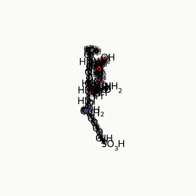 CC(C)[C@H](NC(=O)[C@@H](CCCCNC(=O)COC1CCCCC/C(NCCOCCOCCOCCOCCC(=O)NCCS(=O)(=O)O)=C\1N)NC(=O)CCOCCOCCOCCOCCNC(=O)CCC(=O)N1Cc2ccccc2C#Cc2ccccc21)C(=O)N[C@@H](CCCNC(N)=O)C(=O)N[C@@H](CCO)C(=O)Nc1ccc2c(c1)[C@@]1(C)CCC[C@](C)(C(=O)NC(=O)[C@@]3(C)CCC[C@]4(C)c5cc(O)ccc5CC[C@@H]34)[C@@H]1CC2